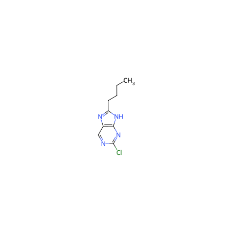 CCCCc1nc2cnc(Cl)nc2[nH]1